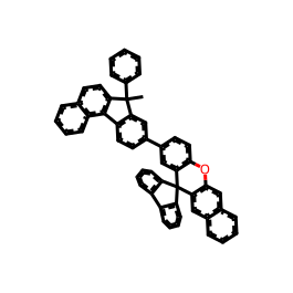 CC1(c2ccccc2)c2cc(-c3ccc4c(c3)C3(c5cc6ccccc6cc5O4)c4ccccc4-c4ccccc43)ccc2-c2c1ccc1ccccc21